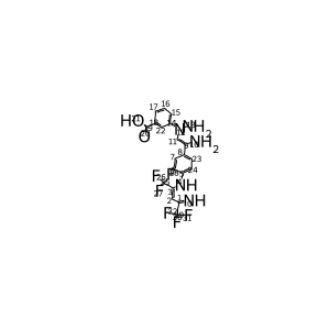 N=C(/C=C(\Nc1ccc(/C(N)=C/N(N)c2cccc(C(=O)O)c2)cc1)C(F)(F)F)C(F)(F)F